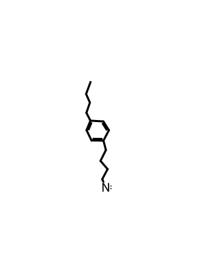 CCCCc1ccc(CCCC[N])cc1